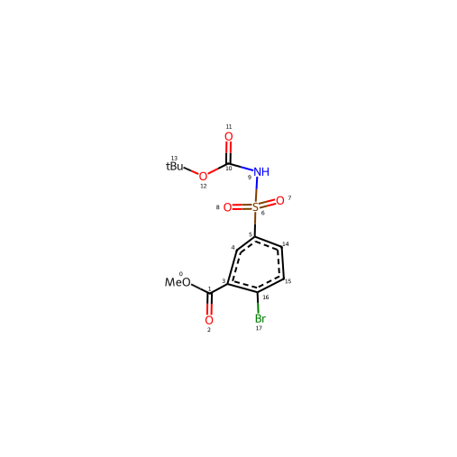 COC(=O)c1cc(S(=O)(=O)NC(=O)OC(C)(C)C)ccc1Br